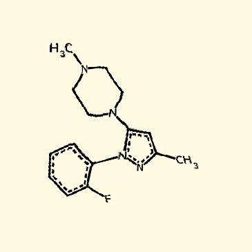 Cc1cc(N2CCN(C)CC2)n(-c2ccccc2F)n1